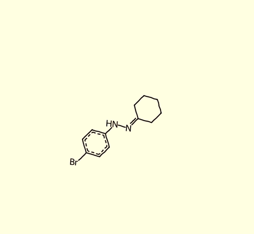 Brc1ccc(NN=C2CCCCC2)cc1